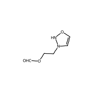 O=COCCN1C=CON1